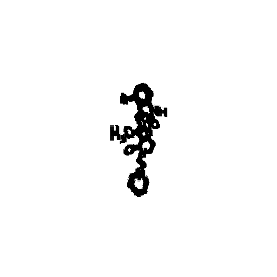 Cc1c(C=C2C(=O)Nc3cccc(Br)c32)[nH]c2c1C(=O)N(CCN1CCCCC1)CC2